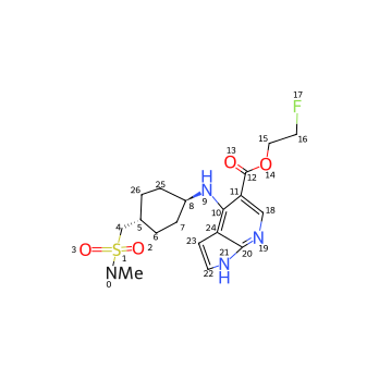 CNS(=O)(=O)C[C@H]1CC[C@H](Nc2c(C(=O)OCCF)cnc3[nH]ccc23)CC1